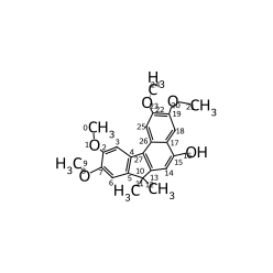 COc1cc2c(cc1OC)C(C)(C)c1cc(O)c3cc(OC)c(OC)cc3c1-2